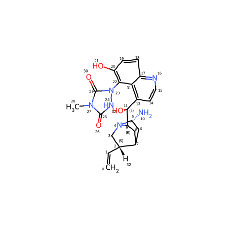 C=C[C@@H]1CN2CCC1C[C@]2(N)[C@@H](O)c1ccnc2ccc(O)c(-n3[nH]c(=O)n(C)c3=O)c12